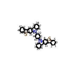 c1ccc2c(c1)sc1cc3c(cc12)c1ccccc1n3-c1ccc(-n2c3ccccc3c3cc4c(cc32)sc2ccccc24)cc1